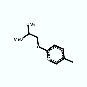 COC(COc1ccc(C)cn1)OC